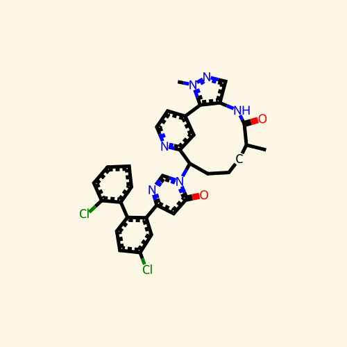 CC1CCCC(n2cnc(-c3cc(Cl)ccc3-c3ccccc3Cl)cc2=O)c2cc(ccn2)-c2c(cnn2C)NC1=O